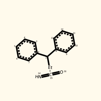 CCC(c1ccccc1)c1ccccc1.N=C=O